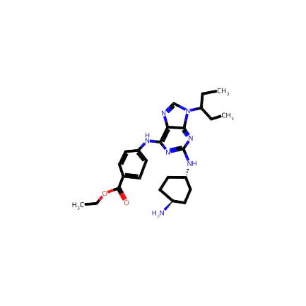 CCOC(=O)c1ccc(Nc2nc(N[C@H]3CC[C@H](N)CC3)nc3c2ncn3C(CC)CC)cc1